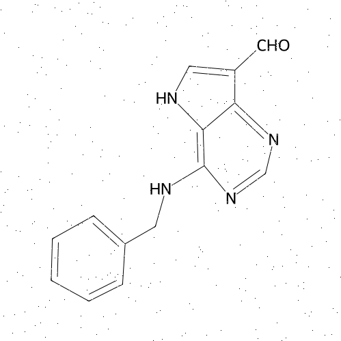 O=Cc1c[nH]c2c(NCc3ccccc3)ncnc12